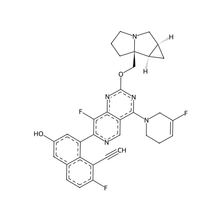 C#Cc1c(F)ccc2cc(O)cc(-c3ncc4c(N5CCC=C(F)C5)nc(OC[C@@]56CCCN5C[C@H]5C[C@H]56)nc4c3F)c12